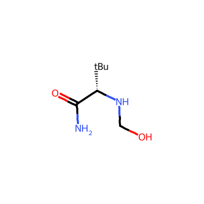 CC(C)(C)[C@H](NCO)C(N)=O